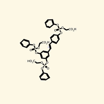 O=C(O)COP(=O)(Oc1ccccc1)Oc1ccc(/C=C/c2cc(OP(=O)(OCC(=O)O)Oc3ccccc3)cc(OP(=O)(OCC(=O)O)Oc3ccccc3)c2)cc1